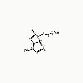 COCCn1c(C)cc2c(C(C)C)cccc21